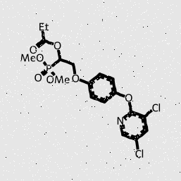 CCC(=O)OC(COc1ccc(Oc2ncc(Cl)cc2Cl)cc1)P(=O)(OC)OC